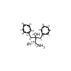 CC(C)[C@@H](N)C(O)(Cc1ccccc1)Cc1ccccc1